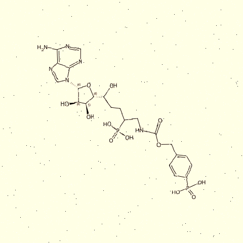 Nc1ncnc2c1ncn2[C@@H]1O[C@H](C(O)CCC(CNC(=O)OCc2ccc(P(=O)(O)O)cc2)P(=O)(O)O)[C@@H](O)[C@H]1O